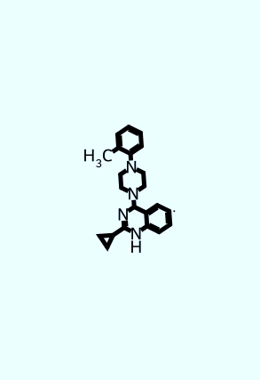 Cc1ccccc1N1CCN(C2N=C(C3CC3)Nc3cc[c]cc32)CC1